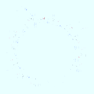 CC(=O)N[C@H]1CSCc2cccc(c2)CSC[C@H](C(N)=O)NC(=O)[C@H]([C@H](C)O)NC(=O)[C@](C)(C(C)C)NC(=O)[C@H](Cc2ccc(O)cc2)NC(=O)[C@H](C)NC(=O)C(C)(C)NC(=O)[C@H](Cc2c[nH]c3ncccc23)NC(=O)[C@H]([C@@H](C)O)NC(=O)[C@@H]2CCCN2C(=O)[C@H](Cc2ccccc2)NC(=O)[C@H](C(C)(C)C)NC1=O